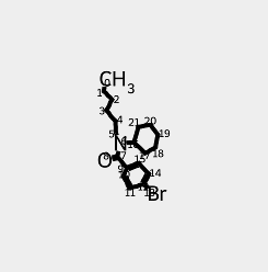 CCCCCCN(C(=O)c1ccc(Br)cc1)C1CCCCC1